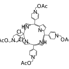 CC(=O)OCN1C=CC(C2=C3C=CC(=N3)C(C3=CCN(COC(C)=O)C=C3)=c3ccc([nH]3)=C(C3=CCN(COC(C)=O)C=C3)C3=NC(Cl)(C=C3)C(Cl)(C3=CCN(COC(C)=O)C=C3)c3ccc2[nH]3)=CC1